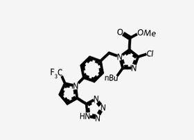 CCCCc1nc(Cl)c(C(=O)OC)n1Cc1ccc(-n2c(-c3nnn[nH]3)ccc2C(F)(F)F)cc1